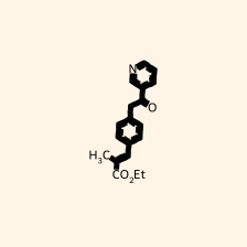 CCOC(=O)C(C)=Cc1ccc(CC(=O)c2cccnc2)cc1